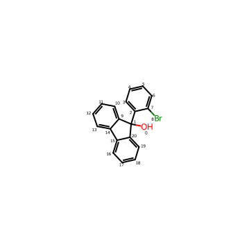 OC1(c2ccccc2Br)c2ccccc2-c2ccccc21